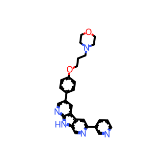 c1cncc(-c2cc3c(cn2)[nH]c2ncc(-c4ccc(OCCCN5CCOCC5)cc4)cc23)c1